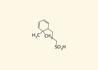 CC1(C)C=CC=CC1CCCS(=O)(=O)O